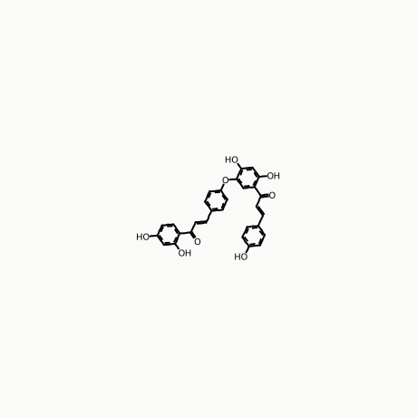 O=C(C=Cc1ccc(Oc2cc(C(=O)C=Cc3ccc(O)cc3)c(O)cc2O)cc1)c1ccc(O)cc1O